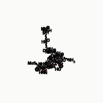 CSCC[C@H](NC(=O)[C@H](Cc1ccccc1)NC(=O)[C@H](C)NC(=O)[C@H](Cc1ccccc1)NC(=O)[C@@H]1CCCN1C(=O)[C@H](Cc1c[nH]cn1)NC(=O)[C@H](Cc1ccccc1)NC(=O)[C@@H](N)CCSC)C(=O)N[C@@H](Cc1ccc(O)cc1)C(=O)N[C@@H](CCCCN)C(=O)NCC(=O)NCC(=O)NCC(=O)N[C@@H](CCCCNC(=O)CCCC[C@@H]1SC[C@@H]2NC(=O)N[C@@H]21)C(N)=O